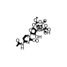 COP(=O)(O[C@H]1O[C@@H](N2C=CC(NC(C)=O)=NC2=C=O)[C@H](O)[C@@H]1O)OP(=O)(O)OP(=O)(O)O